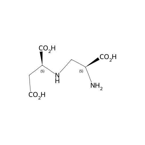 N[C@@H](CN[C@@H](CC(=O)O)C(=O)O)C(=O)O